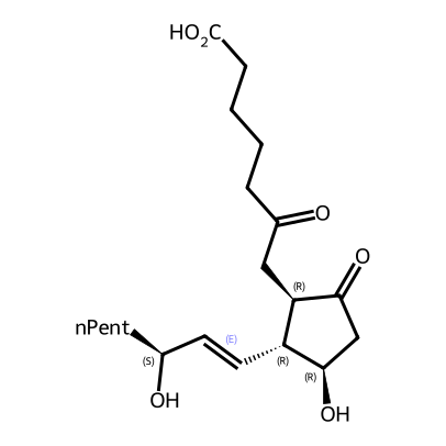 CCCCC[C@H](O)/C=C/[C@H]1[C@H](O)CC(=O)[C@@H]1CC(=O)CCCCC(=O)O